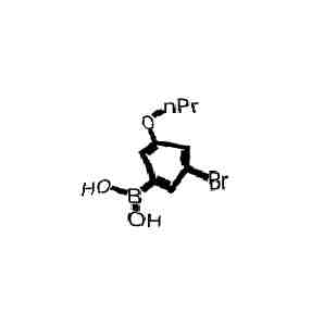 CCCOc1cc(Br)cc(B(O)O)c1